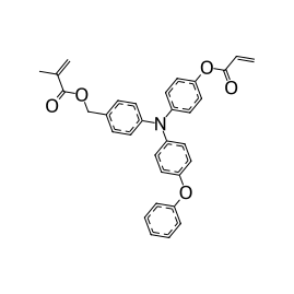 C=CC(=O)Oc1ccc(N(c2ccc(COC(=O)C(=C)C)cc2)c2ccc(Oc3ccccc3)cc2)cc1